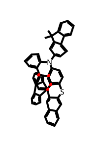 CC1(C)c2ccccc2-c2ccc(N(c3ccc4c(c3)C3(c5cc6ccccc6cc5S4)c4ccccc4-c4ccccc43)c3ccccc3-c3ccccc3)cc21